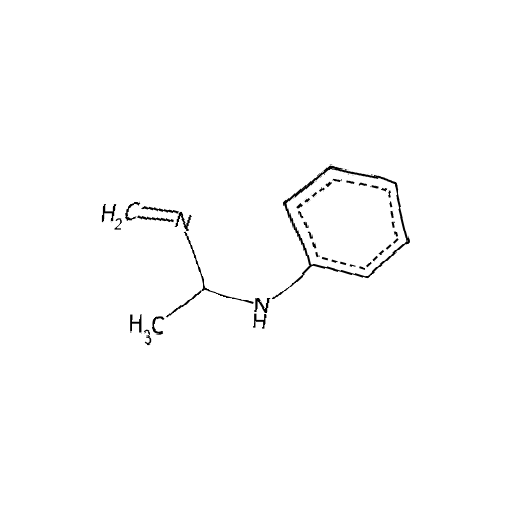 C=NC(C)Nc1ccccc1